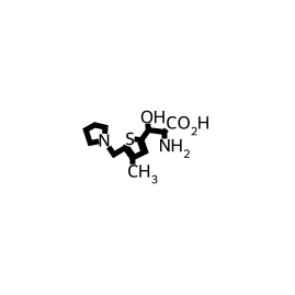 Cc1cc(C(O)C(N)C(=O)O)sc1CN1CCCC1